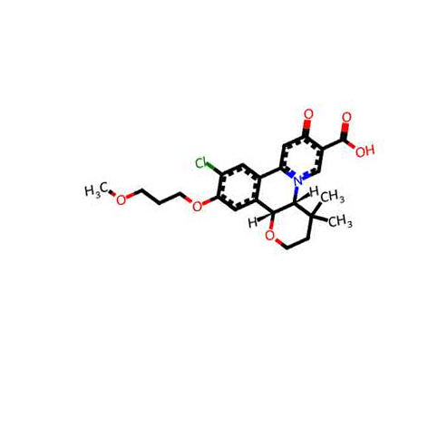 COCCCOc1cc2c(cc1Cl)-c1cc(=O)c(C(=O)O)cn1[C@H]1[C@@H]2OCCC1(C)C